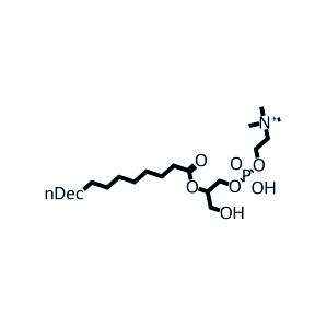 CCCCCCCCCCCCCCCCCC(=O)OC(CO)COP(=O)(O)OCC[N+](C)(C)C